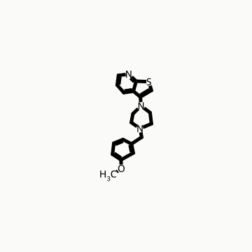 COc1cccc(CN2CCN(c3csc4ncccc34)CC2)c1